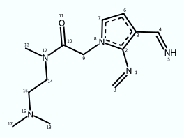 C=Nc1c(C=N)ccn1CC(=O)N(C)CCN(C)C